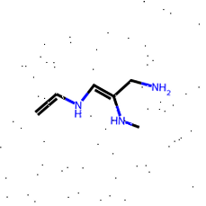 C=CN/C=C(/CN)NC